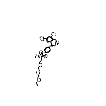 CCOCCOCCOCCNS(=O)(=O)c1ccc([C@@H]2CN(C)Cc3c(Cl)cc(Cl)cc32)cc1